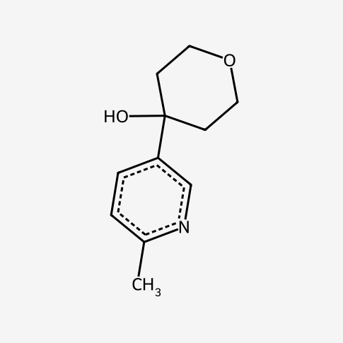 Cc1ccc(C2(O)CCOCC2)cn1